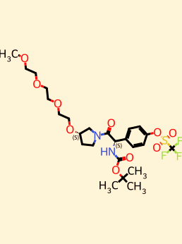 COCCOCCOCCO[C@H]1CCN(C(=O)[C@@H](NC(=O)OC(C)(C)C)c2ccc(OS(=O)(=O)C(F)(F)F)cc2)C1